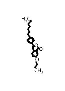 CCCCCCCc1ccc(-c2cc3ccc(OCCCC)cc3c(=O)o2)cc1